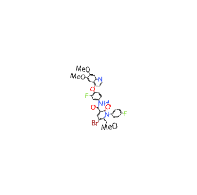 COCc1c(Br)cc(C(=O)Nc2ccc(Oc3ccnc4cc(OC)c(OC)cc34)c(F)c2)c(=O)n1-c1ccc(F)cc1